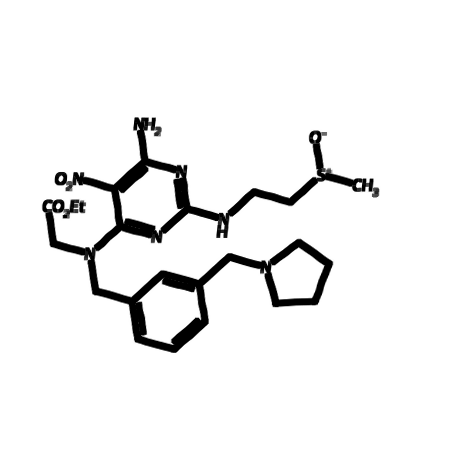 CCOC(=O)CN(Cc1cccc(CN2CCCC2)c1)c1nc(NCC[S+](C)[O-])nc(N)c1[N+](=O)[O-]